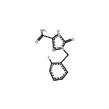 NC(=O)c1nn(Cc2ccccc2F)c(=O)[nH]1